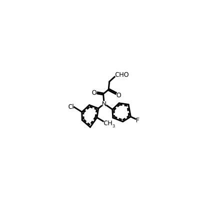 Cc1ccc(Cl)cc1N(C(=O)C(=O)CC=O)c1ccc(F)cc1